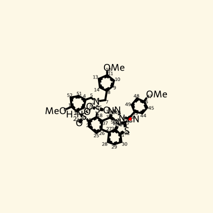 COc1ccc(CN(Cc2ccc(OC)cc2)S(=O)(=O)c2c(S(N)(=O)=O)ccc(-c3cccc4sc(C#N)nc34)c2-c2nnn(Cc3ccc(OC)cc3)n2)cc1